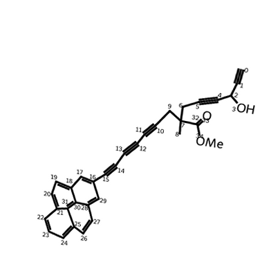 C#CC(O)C#CCC(C)(CC#CC#CC#Cc1cc2ccc3cccc4ccc(c1)c2c34)C(=O)OC